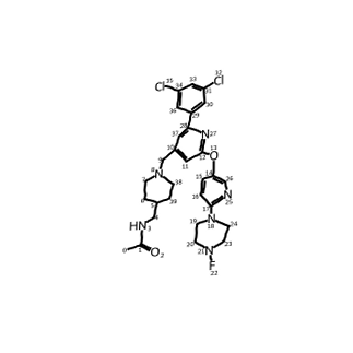 CC(=O)NCC1CCN(Cc2cc(Oc3ccc(N4CCN(F)CC4)nc3)nc(-c3cc(Cl)cc(Cl)c3)c2)CC1